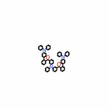 O=C(c1cccc(N(c2ccccc2)c2cccc(C(=O)c3ccccc3-c3ccc(N(c4ccccc4)c4ccccc4)cc3)c2)c1)c1ccccc1-c1ccc(N(c2ccccc2)c2ccccc2)cc1